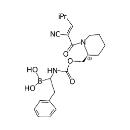 CC(C)C=C(C#N)C(=O)N1CCCC[C@H]1COC(=O)NC(Cc1ccccc1)B(O)O